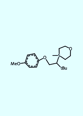 COc1ccc(OCC(C(C)(C)C)S2(C)CCOCC2)cc1